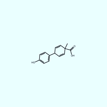 CC1(C(=O)O)C=CC(c2ccc(O)cc2)C=C1